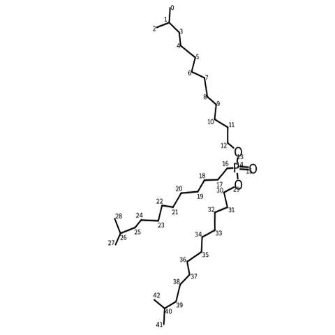 CC(C)CCCCCCCCCCOP(=O)(CCCCCCCCCCC(C)C)OCCCCCCCCCCC(C)C